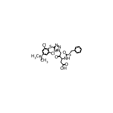 CN(C)c1cc(Cl)c(Sc2nnn(CC(=O)C(CC(=O)O)NC(=O)SCc3ccccc3)n2)c(Cl)c1